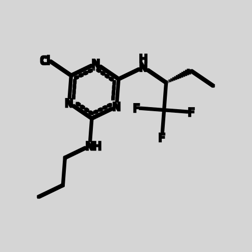 CCCNc1nc(Cl)nc(N[C@H](CC)C(F)(F)F)n1